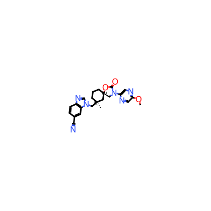 COc1cnc(N2C[C@@]3(CCC[C@](C)(Cn4cnc5ccc(C#N)cc54)C3)OC2=O)cn1